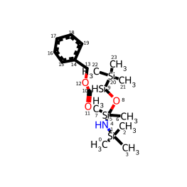 C[Si](C)(C)N[Si](C)(C)O[SiH](C(=O)OCc1ccccc1)[Si](C)(C)C